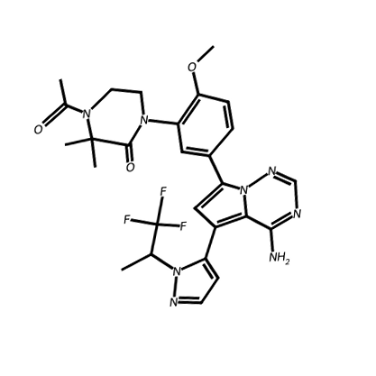 COc1ccc(-c2cc(-c3ccnn3C(C)C(F)(F)F)c3c(N)ncnn23)cc1N1CCN(C(C)=O)C(C)(C)C1=O